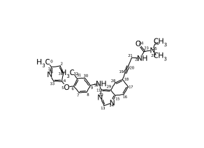 Cc1ccc(Oc2ccc(Nc3ncnc4ccc(C#CCNC(=O)N(C)C)cc34)cc2C)cn1